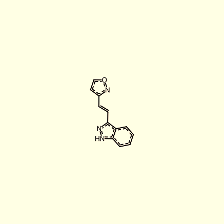 C(=Cc1n[nH]c2ccccc12)c1ccon1